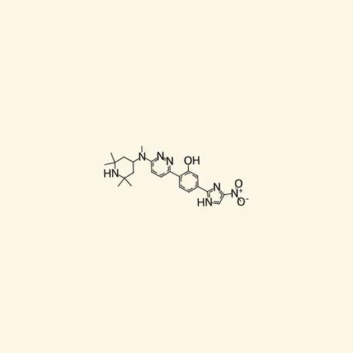 CN(c1ccc(-c2ccc(-c3nc([N+](=O)[O-])c[nH]3)cc2O)nn1)C1CC(C)(C)NC(C)(C)C1